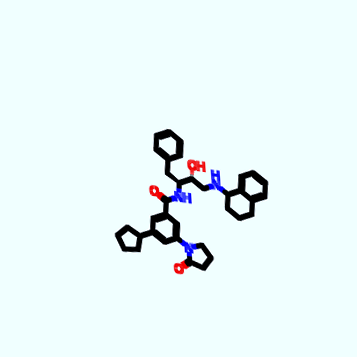 O=C(N[C@@H](Cc1ccccc1)[C@H](O)CNC1CCCc2ccccc21)c1cc(C2CCCC2)cc(N2CCCC2=O)c1